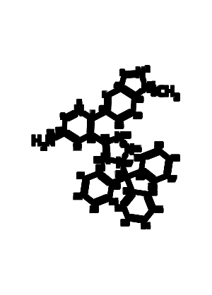 Cn1ncc2cc(-c3ncc(N)cc3-c3nnn(C(c4ccccc4)(c4ccccc4)c4ccccc4)n3)ccc21